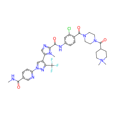 CNC(=O)c1ccc(-n2cc(-c3cnc(C(=O)Nc4ccc(C(=O)N5CCN(C(=O)C6CC[N+](C)(C)CC6)CC5)c(Cl)c4)n3C)c(C(F)(F)F)n2)nc1